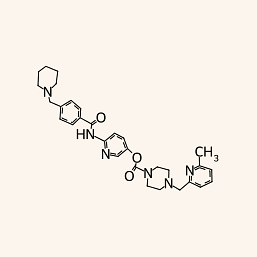 Cc1cccc(CN2CCN(C(=O)Oc3ccc(NC(=O)c4ccc(CN5CCCCC5)cc4)nc3)CC2)n1